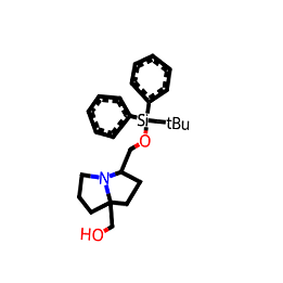 CC(C)(C)[Si](OCC1CCC2(CO)CCCN12)(c1ccccc1)c1ccccc1